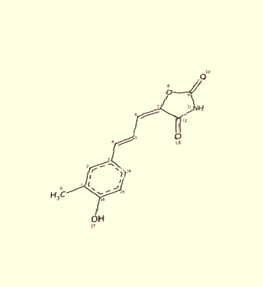 Cc1cc(C=CC=C2OC(=O)NC2=O)ccc1O